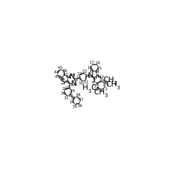 CC1(C)CCC(C)(C)c2cc3c(cc21)c1ccccc1n3-c1ccc(-c2nc(-c3cccc(-c4ccccc4)c3)c3sc4ccccc4c3n2)cc1